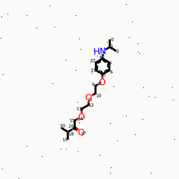 CC(C)Nc1ccc(OCCOCCOCC(=O)C(C)C)cc1